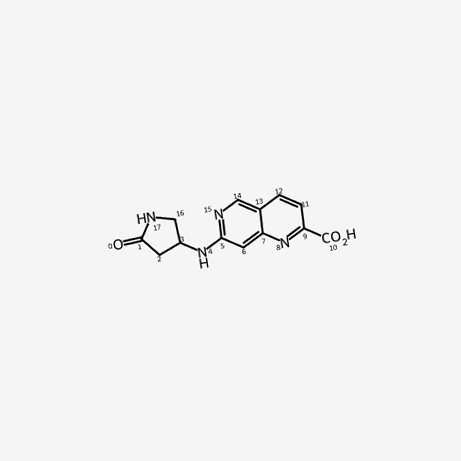 O=C1CC(Nc2cc3nc(C(=O)O)ccc3cn2)CN1